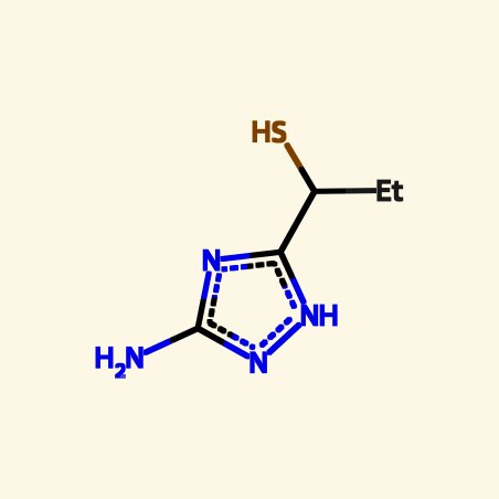 [CH2]CC(S)c1nc(N)n[nH]1